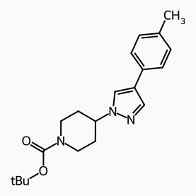 Cc1ccc(-c2cnn(C3CCN(C(=O)OC(C)(C)C)CC3)c2)cc1